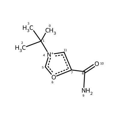 CC(C)(C)[n+]1coc(C(N)=O)c1